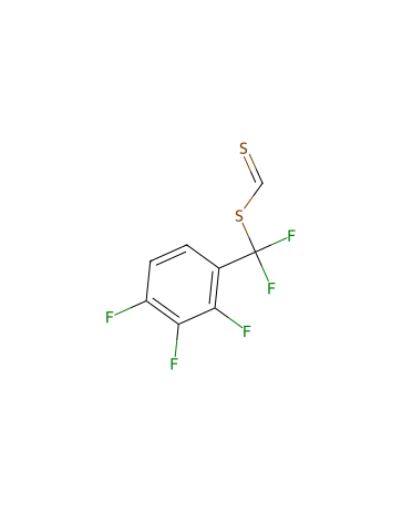 Fc1ccc(C(F)(F)SC=S)c(F)c1F